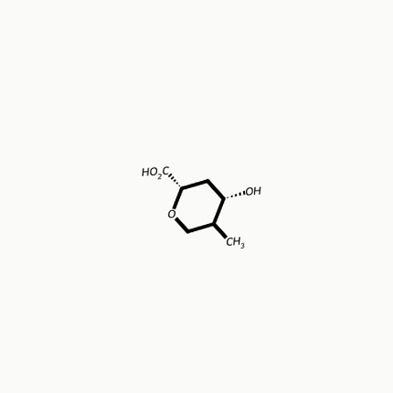 CC1CO[C@H](C(=O)O)C[C@@H]1O